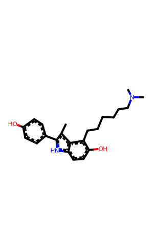 Cc1c(-c2ccc(O)cc2)[nH]c2ccc(O)c(CCCCCCN(C)C)c12